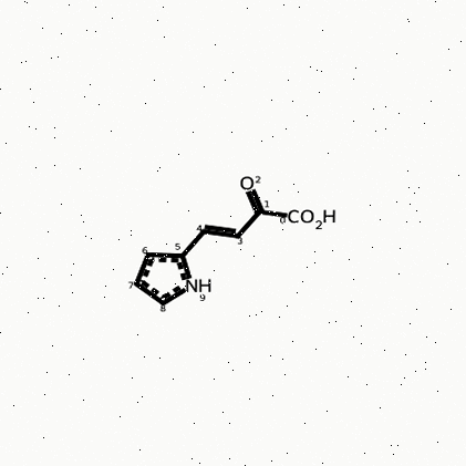 O=C(O)C(=O)C=Cc1ccc[nH]1